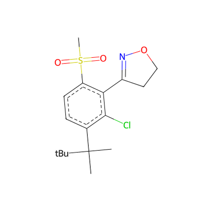 CC(C)(C)C(C)(C)c1ccc(S(C)(=O)=O)c(C2=NOCC2)c1Cl